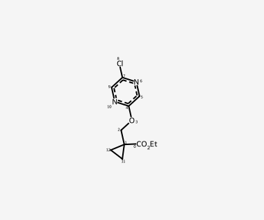 CCOC(=O)C1(COc2cnc(Cl)cn2)CC1